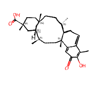 CC1=C(O)C(=O)C=C2C1=CCC1[C@@H](C)CC[C@@]3(C)CC[C@@](C)(C(=O)O)C[C@H]3[C@H](C)CC[C@@]21C